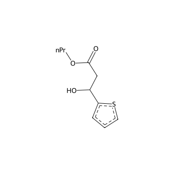 CCCOC(=O)CC(O)c1cccs1